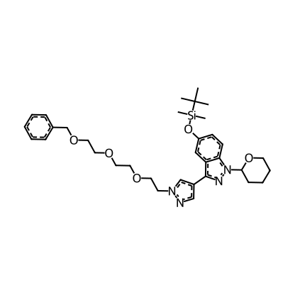 CC(C)(C)[Si](C)(C)Oc1ccc2c(c1)c(-c1cnn(CCOCCOCCOCc3ccccc3)c1)nn2C1CCCCO1